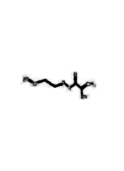 C=C(CCC)C(=O)OOCCOCC